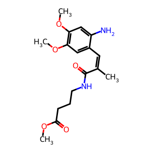 COC(=O)CCCNC(=O)C(C)=Cc1cc(OC)c(OC)cc1N